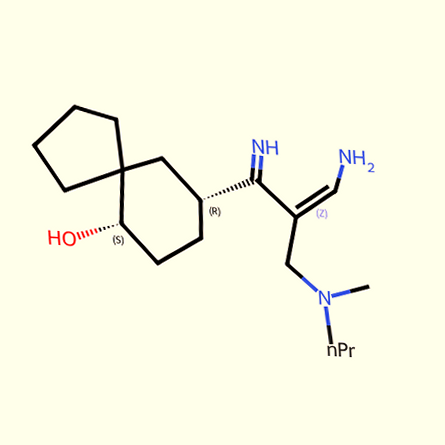 CCCN(C)C/C(=C/N)C(=N)[C@@H]1CC[C@H](O)C2(CCCC2)C1